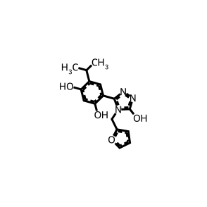 CC(C)c1cc(-c2nnc(O)n2Cc2ccco2)c(O)cc1O